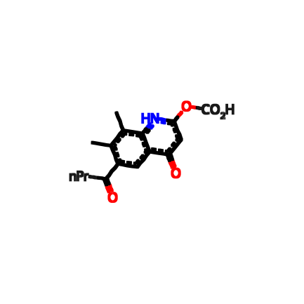 CCCC(=O)c1cc2c(=O)cc(OC(=O)O)[nH]c2c(C)c1C